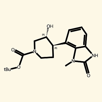 Cn1c(=O)[nH]c2cccc([C@H]3CCN(C(=O)OC(C)(C)C)C[C@@H]3O)c21